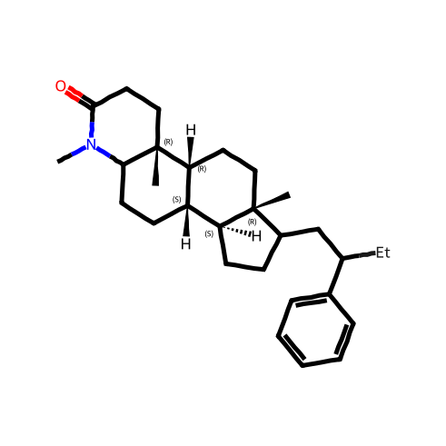 CCC(CC1CC[C@H]2[C@@H]3CCC4N(C)C(=O)CC[C@]4(C)[C@@H]3CC[C@]12C)c1ccccc1